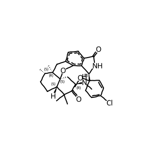 CN[C@@H]1C[C@@]23Oc4c(ccc5c4[C@H](C4(OC)C=CC(Cl)=CC4)NC5=O)C[C@]2(C)[C@@H](C)CC[C@H]3C(C)(C)C1=O